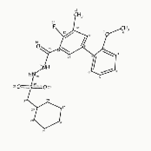 COc1ccccc1-c1cc(C)c(F)c(C(=O)NNS(=O)(=O)CC2CCCCC2)c1